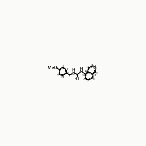 COc1ccc(CNC(=O)Nc2cccc3cnccc23)cc1